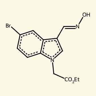 CCOC(=O)Cn1cc(C=NO)c2cc(Br)ccc21